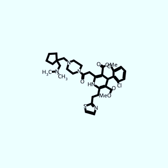 COC(=O)C1=C(CCc2nccs2)NC(CC(=O)N2CCN(CC3(CN(C)C)CCCC3)CC2)=C(C(=O)OC)C1c1c(Cl)cccc1Cl